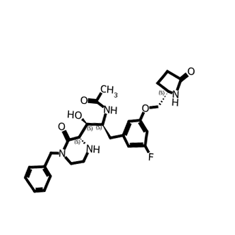 CC(=O)N[C@@H](Cc1cc(F)cc(OC[C@@H]2CCC(=O)N2)c1)[C@H](O)[C@@H]1NCCN(Cc2ccccc2)C1=O